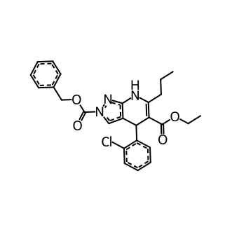 CCCC1=C(C(=O)OCC)C(c2ccccc2Cl)c2cn(C(=O)OCc3ccccc3)nc2N1